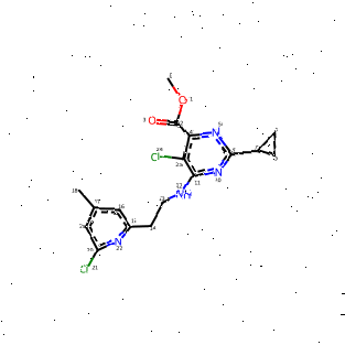 COC(=O)c1nc(C2CC2)nc(NCCc2cc(C)cc(Cl)n2)c1Cl